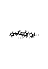 CCC(N)=C(CO)CCCc1ccc(Sc2cccc(OCc3ccccc3)c2)cc1Cl.Cl